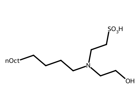 CCCCCCCCCCCCN(CCO)CCS(=O)(=O)O